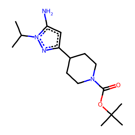 CC(C)n1nc(C2CCN(C(=O)OC(C)(C)C)CC2)cc1N